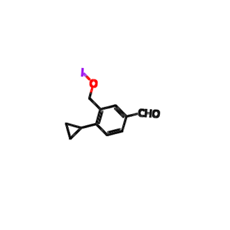 O=Cc1ccc(C2CC2)c(COI)c1